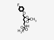 CC(=O)OC(CCCNS(C)(=O)=O)COc1ccc(F)cc1